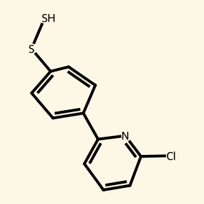 SSc1ccc(-c2cccc(Cl)n2)cc1